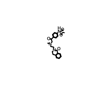 CN(CCN1CCc2ccccc2C1=O)CC(=O)c1ccc(NS(C)(=O)=O)cc1